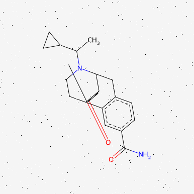 CC(C1CC1)N1CCC23CC(=O)CCC2C1Cc1ccc(C(N)=O)cc13